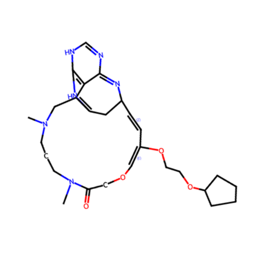 CN1CCCN(C)C(=O)CO/C=C(OCCOC2CCCC2)\C=C/C2Cc3[nH]c4c(c3C1)C(=N2)N=CN4